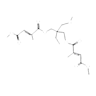 CCC(COC)(COC(=O)/C(C)=C/C(=O)OC)COC(=O)/C(C)=C/C(=O)OC